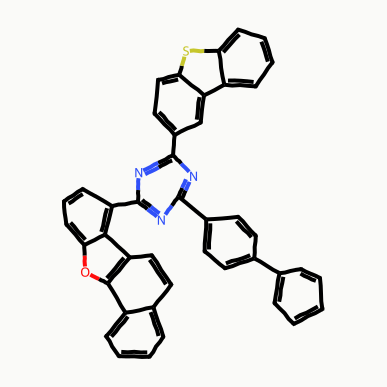 c1ccc(-c2ccc(-c3nc(-c4ccc5sc6ccccc6c5c4)nc(-c4cccc5oc6c7ccccc7ccc6c45)n3)cc2)cc1